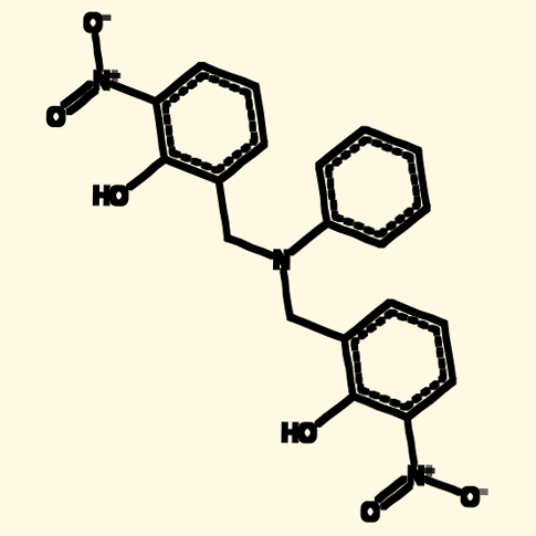 O=[N+]([O-])c1cccc(CN(Cc2cccc([N+](=O)[O-])c2O)c2ccccc2)c1O